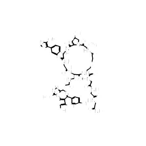 Cc1ncsc1-c1ccc([C@H]2NC(=O)[C@@H]3C[C@@H](O)CN3C(=O)[C@H](C(C)(C)C)NC(=O)CSC[C@H](C(=O)NCC(=O)NCC(=O)NCC(N)=O)NC(=O)[C@@H](CNC(=O)C[C@@H]3N=C(c4ccc(Cl)cc4)c4c(sc(C)c4C)-n4c(C)nnc43)NC(=O)CNC2=O)cc1